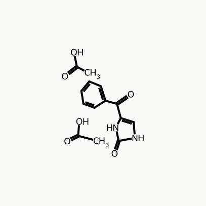 CC(=O)O.CC(=O)O.O=C(c1ccccc1)c1c[nH]c(=O)[nH]1